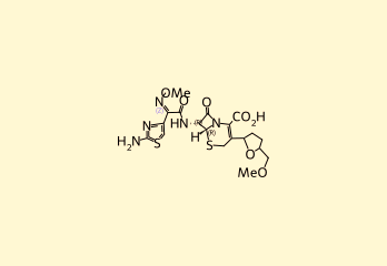 COCC1CCC(C2=C(C(=O)O)N3C(=O)[C@@H](NC(=O)/C(=N\OC)c4csc(N)n4)[C@H]3SC2)O1